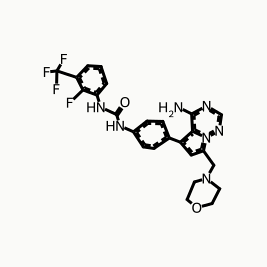 Nc1ncnn2c(CN3CCOCC3)cc(-c3ccc(NC(=O)Nc4cccc(C(F)(F)F)c4F)cc3)c12